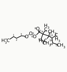 CCCCOOOC(=O)C(C)(CC)C(C)(C)C(C)CC